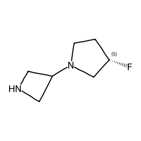 F[C@H]1CCN(C2CNC2)C1